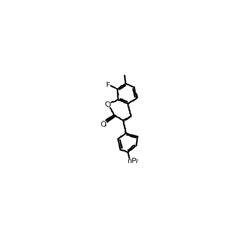 CCCc1ccc(C2Cc3ccc(C)c(F)c3OC2=O)cc1